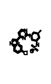 C[C@H]1C[C@@H](N=S(C)(C)=O)CN(c2nccc(-c3cnc4ccc(Cl)cn34)n2)C1